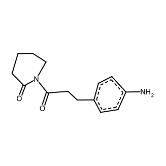 Nc1ccc(CCC(=O)N2CCCCC2=O)cc1